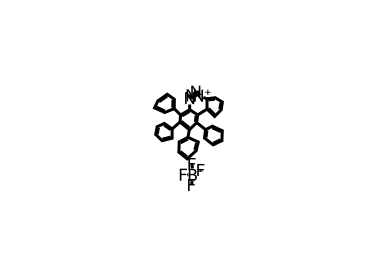 F[B-](F)(F)F.N#[N+]c1ccccc1-c1c([N+]#N)c(-c2ccccc2)c(-c2ccccc2)c(-c2ccccc2)c1-c1ccccc1